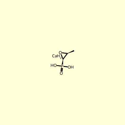 C[C@@H]1O[C@@H]1P(=O)(O)O.[CaH2]